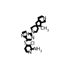 C[C@@H]1c2cnccc2CC12CCN(c1ncc(Sc3ccnc(N)c3Cl)c3nccn13)CC2